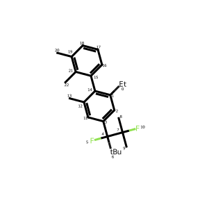 CCc1cc(C(F)(C(C)(C)C)C(C)(C)F)cc(C)c1-c1cccc(C)c1C